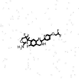 CC1(c2cc3c(cc2F)CNC(c2ccc(OCC(F)F)cn2)=N3)N=C(N)OCC1(F)F